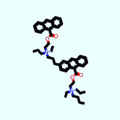 CCCC[N+](CC)(CCC)CCOC(=O)c1c2ccccc2cc2cc(CCC[N+](CC)(CCC)CCOC(=O)c3c4ccccc4cc4ccccc34)ccc12